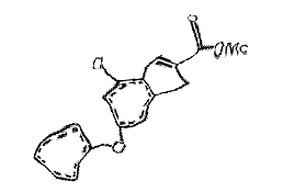 COC(=O)C1=Cc2c(Cl)cc(Oc3ccccc3)cc2C1